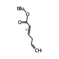 [CH]=CC/C=C/C(=O)OC(C)(C)C